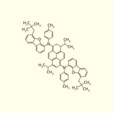 Cc1ccc(N(C2=c3ccc4c(C(C)C)cc(N(c5ccc(C)cc5)c5cccc6c5oc5c(CC(C)(C)C)cccc56)c5ccc(c3c45)C(C(C)C)C2)c2cccc3c2oc2c(CC(C)(C)C)cccc23)cc1